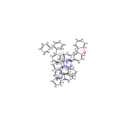 c1ccc(-c2ccccc2-n2c3ccccc3c3cccc(-n4c5ccccc5c5cccc(-c6nc(-c7ccc8oc9ccccc9c8c7)nc(-c7cccc8c7sc7cccc(-c9ccccc9)c78)n6)c54)c32)cc1